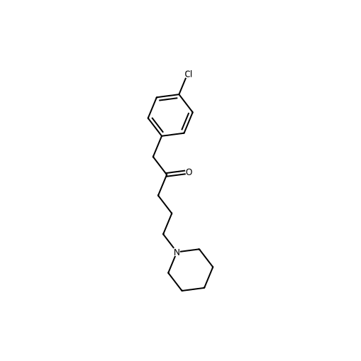 O=C(CCCN1CCCCC1)Cc1ccc(Cl)cc1